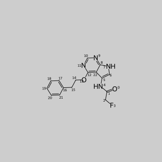 O=C(CF)Nc1c[nH]c2ncnc(OCCc3ccccc3)c12